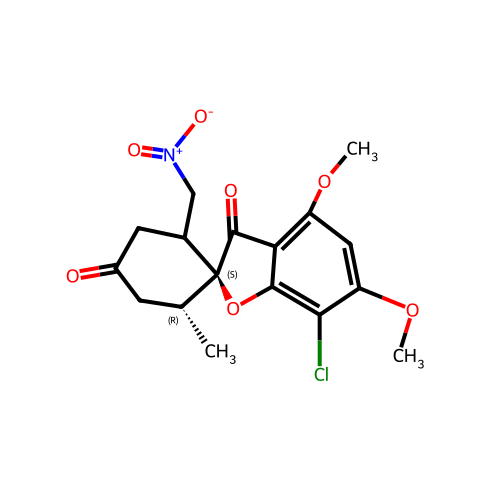 COc1cc(OC)c2c(c1Cl)O[C@]1(C2=O)C(C[N+](=O)[O-])CC(=O)C[C@H]1C